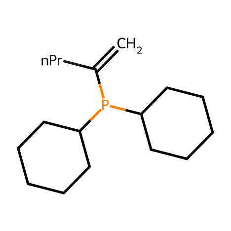 C=C(CCC)P(C1CCCCC1)C1CCCCC1